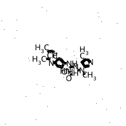 CCC=C=C1C=C(NC(NC=O)NCN(C)c2cncc(C)c2)C(O)=C/C1=N/C(C)C